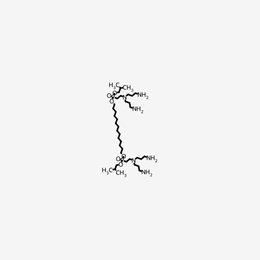 CC(C)COP(=O)(CCN(CCCN)CCCN)OCCCCCCCCCCCCCCOP(=O)(CCN(CCCN)CCCN)OCC(C)C